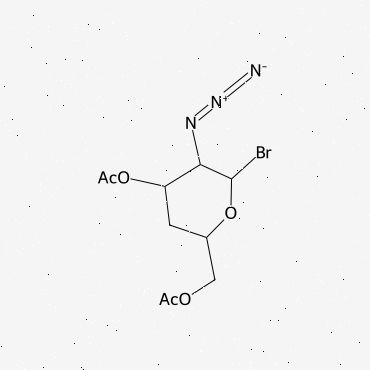 CC(=O)OCC1CC(OC(C)=O)C(N=[N+]=[N-])C(Br)O1